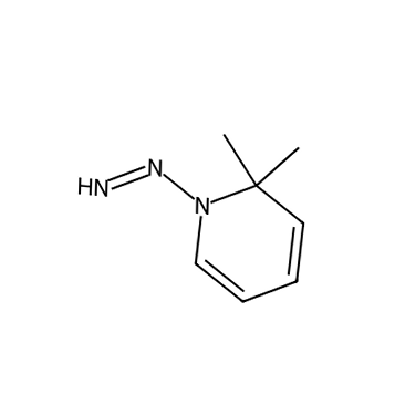 CC1(C)C=CC=CN1N=N